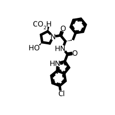 O=C(N[C@@H](Cc1ccccc1)C(=O)N1C[C@H](O)C[C@H]1C(=O)O)c1cc2cc(Cl)ccc2[nH]1